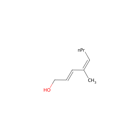 CCCC=C(C)C=CCO